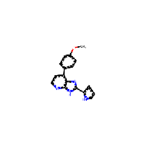 COc1ccc(-c2ccnc3[nH]c(-c4ccc[nH]4)nc23)cc1